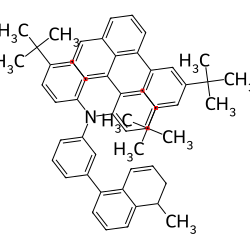 CC1CC=Cc2c(-c3cccc(N(c4ccc(C(C)(C)C)cc4)c4ccccc4-c4cccc5cccc(-c6cc(C(C)(C)C)cc(C(C)(C)C)c6)c45)c3)cccc21